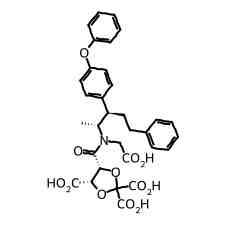 C[C@H]([C@H](CCc1ccccc1)c1ccc(Oc2ccccc2)cc1)N(CC(=O)O)C(=O)[C@@H]1OC(C(=O)O)(C(=O)O)O[C@@H]1C(=O)O